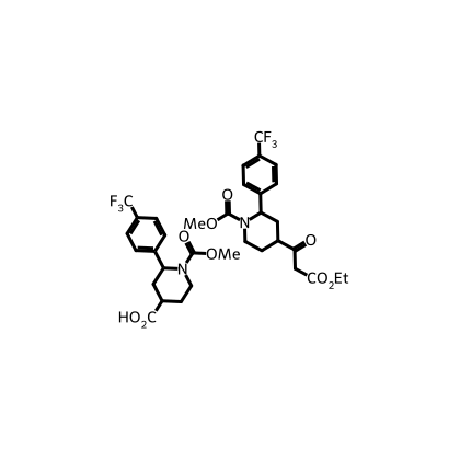 CCOC(=O)CC(=O)C1CCN(C(=O)OC)C(c2ccc(C(F)(F)F)cc2)C1.COC(=O)N1CCC(C(=O)O)CC1c1ccc(C(F)(F)F)cc1